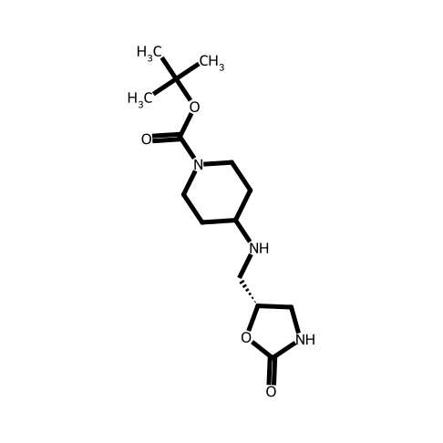 CC(C)(C)OC(=O)N1CCC(NC[C@@H]2CNC(=O)O2)CC1